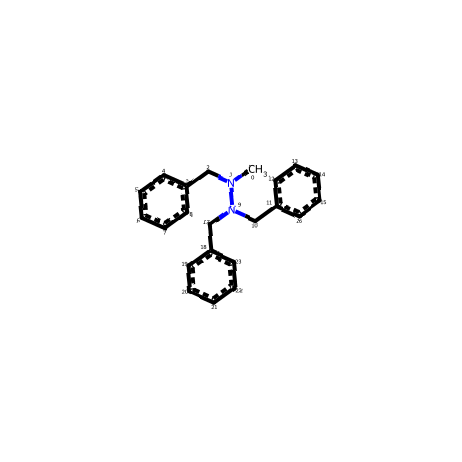 CN(Cc1ccccc1)N(Cc1ccccc1)Cc1ccccc1